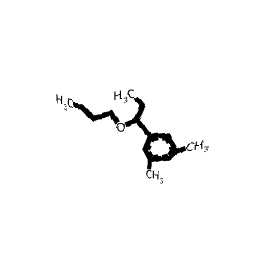 CCCCOC(CC)c1cc(C)cc(C)c1